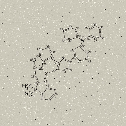 CC1(C)c2ccccc2-c2cc3c(cc21)oc1cccc(-c2cccc(-c4cccc(N(c5ccccc5)c5ccccc5)c4)c2)c13